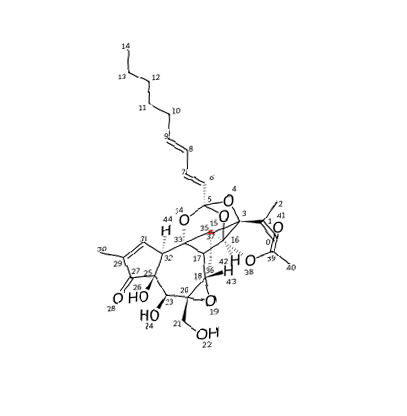 C=C(C)[C@@]12O[C@@]3(/C=C/C=C/CCCCC)O[C@@H]1C1[C@@H]4O[C@]4(CO)[C@@H](O)[C@]4(O)C(=O)C(C)=C[C@H]4[C@@]1(O3)[C@H](C)[C@H]2OC(C)=O